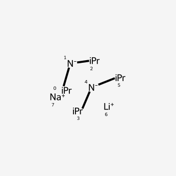 CC(C)[N-]C(C)C.CC(C)[N-]C(C)C.[Li+].[Na+]